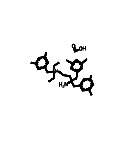 CC[N+](CC)(CCCC(N)(Cc1cc(C)cc(C)c1)Cc1cc(C)cc(C)c1)Cc1cc(C)cc(C)c1.O=CO